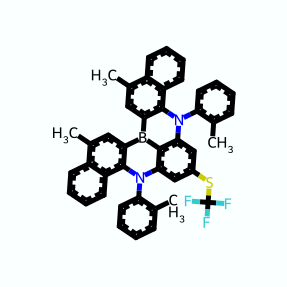 Cc1ccccc1N1c2cc(SC(F)(F)F)cc3c2B(c2cc(C)c4ccccc4c21)c1cc(C)c2ccccc2c1N3c1ccccc1C